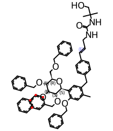 Cc1cc(OCc2ccccc2)c([C@@H]2O[C@H](COCc3ccccc3)[C@@H](OCc3ccccc3)[C@H](OCc3ccccc3)[C@H]2OCc2ccccc2)cc1Cc1ccc(/C=C/CNC(=O)NC(C)(C)CO)cc1